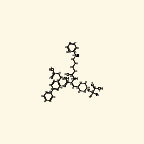 O=C(O)C(F)(F)F.O=C(O)CC(NC(=O)[C@H](CC1CCCCC1)NC(=O)CCCCNc1ccccn1)c1ccc(-c2ccccc2)cc1